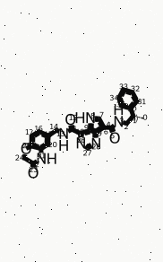 C[C@H](CNC(=O)c1c[nH]c2c(C(=O)NCc3ccc4c(c3)NC(=O)CO4)ncnc12)c1ccccc1